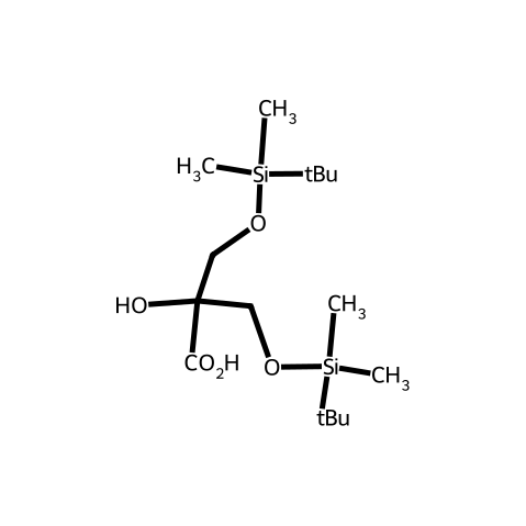 CC(C)(C)[Si](C)(C)OCC(O)(CO[Si](C)(C)C(C)(C)C)C(=O)O